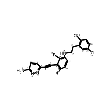 Nc1ccc(C#Cc2c(F)ccc(NCCc3cc(Cl)ccc3Cl)c2F)nn1